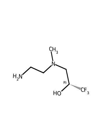 CN(CCN)C[C@@H](O)C(F)(F)F